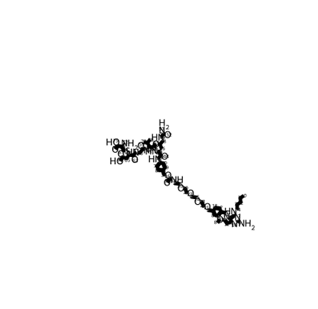 CCCCCNc1nc(N)nc2ccn(Cc3ccc(COCCOCCOCCOCCNC(=O)OCc4ccc(NC(=O)[C@H](CCCNC(N)=O)NC(=O)[C@@H](NC(=O)CNC(=O)C(CC(=O)O)SC[C@H](N)C(=O)O)C(C)C)cc4)cc3OC)c12